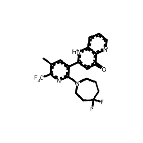 Cc1cc(-c2cc(=O)c3ncccc3[nH]2)c(N2CCCC(F)(F)CC2)nc1C(F)(F)F